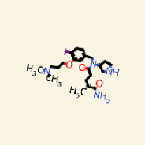 C[C@@H](C[CH]C(=O)N(Cc1ccc(I)c(OCCCN(C)C)c1)[C@H]1CCNC1)C(N)=O